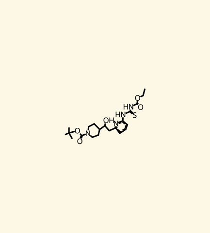 CCOC(=O)NC(=S)Nc1cccc(CC(O)C2CCN(C(=O)OC(C)(C)C)CC2)n1